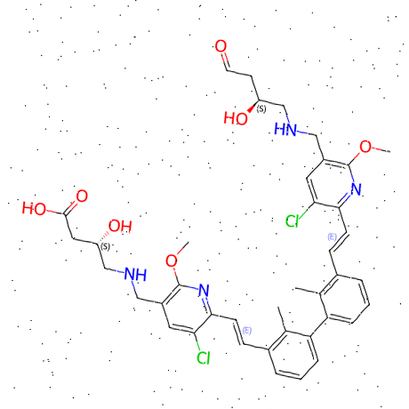 COc1nc(/C=C/c2cccc(-c3cccc(/C=C/c4nc(OC)c(CNC[C@@H](O)CC=O)cc4Cl)c3C)c2C)c(Cl)cc1CNC[C@@H](O)CC(=O)O